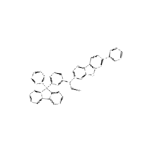 N=CC(c1cccc(C2(c3ccccc3)c3ccccc3-c3ccccc32)c1)c1ccc2c(c1)oc1cc(-c3ccccc3)ccc12